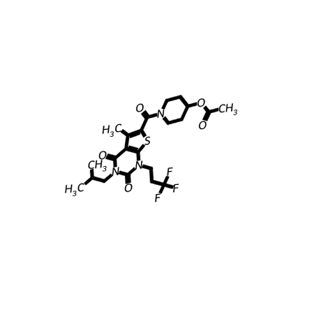 CC(=O)OC1CCN(C(=O)c2sc3c(c2C)c(=O)n(CC(C)C)c(=O)n3CCC(F)(F)F)CC1